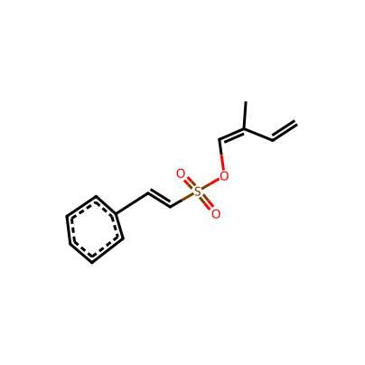 C=CC(C)=COS(=O)(=O)C=Cc1ccccc1